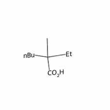 CCCCC(C)(CC)C(=O)O